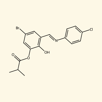 CC(C)C(=O)Oc1cc(Br)cc(C=Nc2ccc(Cl)cc2)c1O